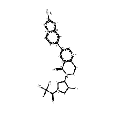 CC(O)(C(=O)N1CC(F)C(N2CCc3ncc(-c4ccn5nc(N)nc5c4)cc3C2=O)C1)C(F)(F)F